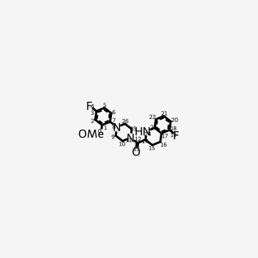 COc1cc(F)ccc1N1CCN(C(=O)C2CCc3c(F)cccc3N2)CC1